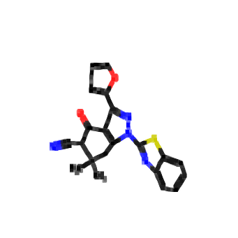 CC1(C)Cc2c(c(-c3ccco3)nn2-c2nc3ccccc3s2)C(=O)C1C#N